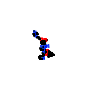 COc1cc(Nc2nccc(N(CCc3ccccn3)C(=O)Oc3c(C)cc(C)cc3C)n2)ccc1OCCCN1CCN(C)CC1